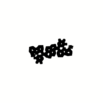 Cc1cc(N(c2ccc3ccc4c(N(c5cc(C)c(C)c(C)c5)c5cccc6c5oc5c(C(C)C)cccc56)ccc5ccc2c3c54)c2cccc3c2oc2c(C(C)C)cccc23)cc(C)c1C